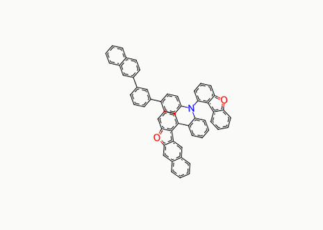 c1cc(-c2ccc(N(c3ccccc3-c3cccc4oc5cc6ccccc6cc5c34)c3cccc4oc5ccccc5c34)cc2)cc(-c2ccc3ccccc3c2)c1